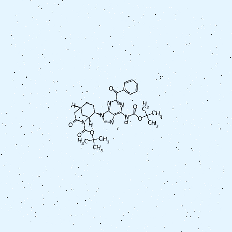 CC(C)(C)OC(=O)Nc1nc(C(=O)c2ccccc2)nc2c1ncn2[C@@H]1CC[C@H]2CC(=O)N(C(=O)OC(C)(C)C)[C@@H]1C2